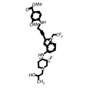 COC(=O)c1ccc(NCC#Cc2cc3c(N[C@H]4CCN(CC(C)O)C[C@H]4F)cccc3n2CC(F)(F)F)c(OC)c1